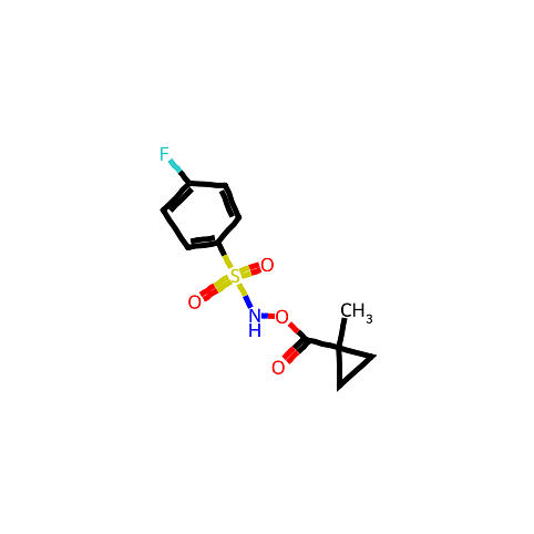 CC1(C(=O)ONS(=O)(=O)c2ccc(F)cc2)CC1